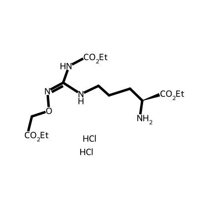 CCOC(=O)CON=C(NCCC[C@H](N)C(=O)OCC)NC(=O)OCC.Cl.Cl